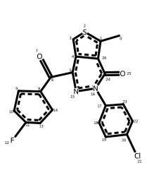 Cc1scc2c(C(=O)c3ccc(F)cc3)nn(-c3ccc(Cl)cc3)c(=O)c12